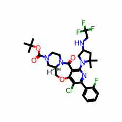 CC(C)(C)OC(=O)N1CCN2C(=O)c3c(N4CC(NCC(F)(F)F)CC4(C)C)nc(-c4ccccc4F)c(Cl)c3OC[C@H]2C1